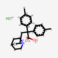 Cc1ccc(C(CC2CC3CCN2CC3)(C(=O)O)c2ccc(C)cc2)cc1.Cl